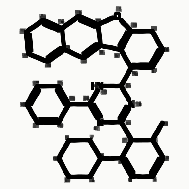 CC1C=CC=C(C2CCCCC2)C1C1=NC(C2=C=CCc3oc4cc5ccccc5cc4c32)NC(c2ccccc2)=N1